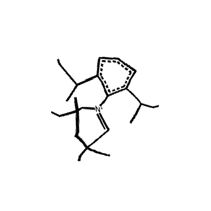 CC(C)c1cccc(C(C)C)c1[N+]1=CC(C)(C)CC1(C)C